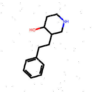 OC1CCNCC1CCc1ccccc1